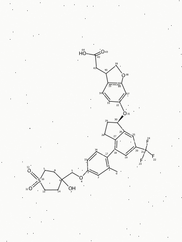 Cc1cc(OCC2(O)CCS(=O)(=O)CC2)ccc1-c1cc(C(F)(F)F)cc2c1CC[C@H]2Oc1ccc2c(c1)OCC2CC(=O)O